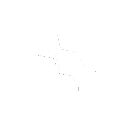 CC1CC(C)C(I)C=C1I